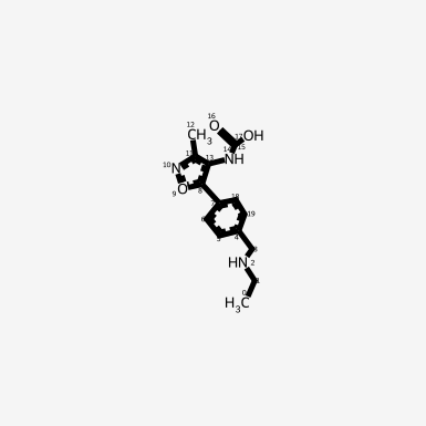 CCNCc1ccc(-c2onc(C)c2NC(=O)O)cc1